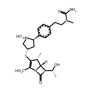 C[C@@H](O)[C@H]1C(=O)N2C(C(=O)O)=C(S[C@@H]3CN[C@@H](c4ccc(CCN(C)C(N)=O)cc4)C3)[C@H](C)[C@H]12.Cl